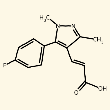 Cc1nn(C)c(-c2ccc(F)cc2)c1/C=C/C(=O)O